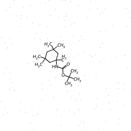 CC1(C)CC(C)(C)CC(C)(NC(=O)OC(C)(C)C)C1